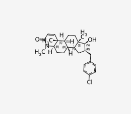 CN1C(=O)C=C[C@]2(C)[C@H]3CC[C@]4(C)[C@@H](O)[C@@H](Cc5ccc(Cl)cc5)C[C@H]4[C@@H]3CC[C@@H]12